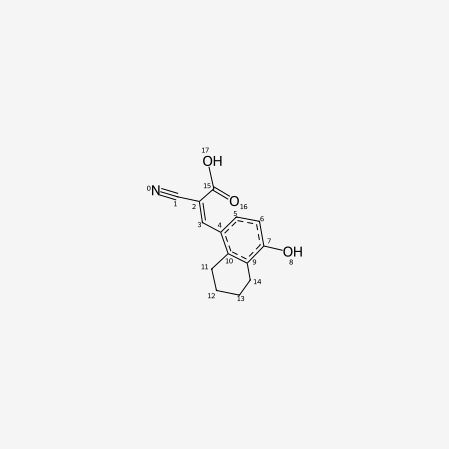 N#C/C(=C/c1ccc(O)c2c1CCCC2)C(=O)O